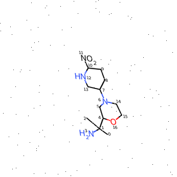 CC(C)(N)C1CN(C2CCC([N+](=O)[O-])NC2)CCO1